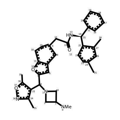 CNC1CN(C(c2cc3cc(CC(=O)N[C@@H](c4ccccc4)c4ccc(C)cc4C)ccc3o2)c2c(C)noc2C)C1